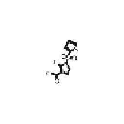 O=C(Cl)N1CCN(S(=O)(=O)c2cccs2)C1=O